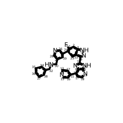 Fc1cc2[nH]nc(-c3nc4c(-c5ccncc5)ccnc4[nH]3)c2cc1-c1cncc(CNCc2ccccc2)c1